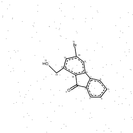 O=C1c2ccccc2-c2cc(Br)cc(CO)c21